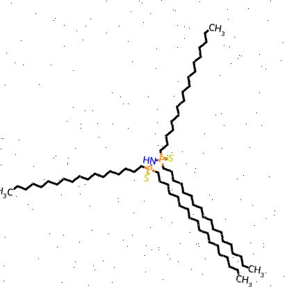 CCCCCCCCCCCCCCCCCCP(=S)(CCCCCCCCCCCCCCCCCC)NP(=S)(CCCCCCCCCCCCCCCCCC)CCCCCCCCCCCCCCCCCC